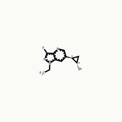 CC(C)[C@H]1C[C@@H]1c1cnc2c(F)nn(CC(F)(F)F)c2c1